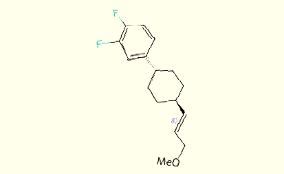 COC/C=C/[C@H]1CC[C@H](c2ccc(F)c(F)c2)CC1